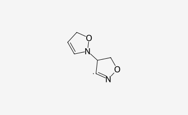 [C]1=NOCC1N1C=CCO1